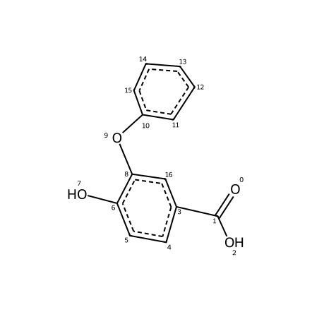 O=C(O)c1ccc(O)c(Oc2ccccc2)c1